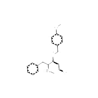 CNC(Cc1ccccc1)/C(=C\C=O)OCc1ccc(OC)cc1